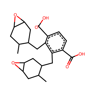 CC1CC2OC2CC1Cc1c(C(=O)O)ccc(C(=O)O)c1CC1CC2OC2CC1C